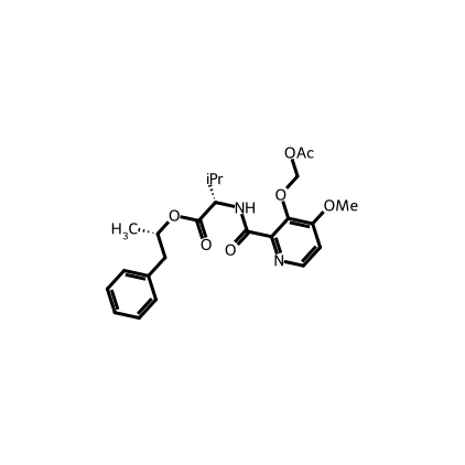 COc1ccnc(C(=O)N[C@H](C(=O)O[C@@H](C)Cc2ccccc2)C(C)C)c1OCOC(C)=O